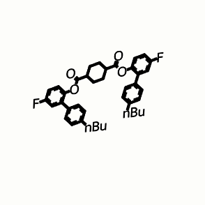 CCCCc1ccc(-c2cc(F)ccc2OC(=O)C2CCC(C(=O)Oc3ccc(F)cc3-c3ccc(CCCC)cc3)CC2)cc1